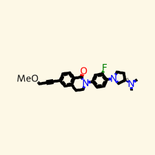 COCC#Cc1ccc2c(c1)CCN(c1ccc(N3CC[C@@H](N(C)C)C3)c(F)c1)C2=O